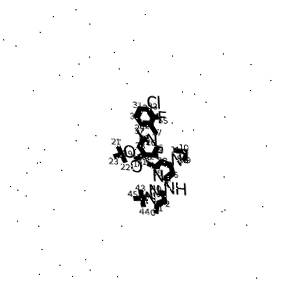 Cc1cc(Nc2cc(N3CCC3)c(F)c(C[C@@]3(C(=O)OC(C)(C)C)CCN(Cc4cccc(Cl)c4F)[C@H](C)C3)n2)nn1C(C)(C)C